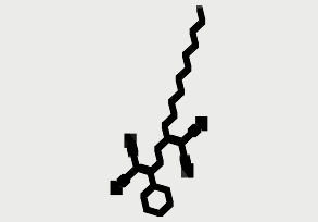 CCCCCCCCCCCC(CCC(=C(C#N)C#N)C1CCCCC1)=C(C#N)C#N